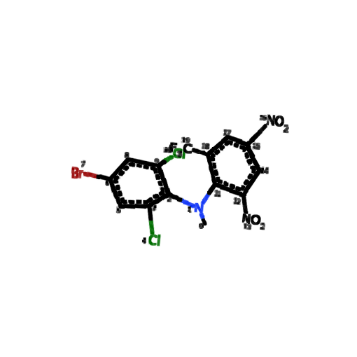 CN(c1c(Cl)cc(Br)cc1Cl)c1c([N+](=O)[O-])cc([N+](=O)[O-])cc1C(F)(F)F